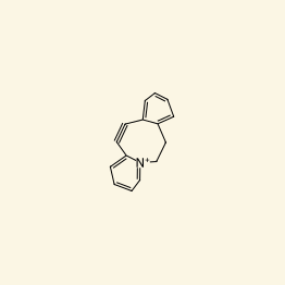 C1#Cc2cccc[n+]2CCc2ccccc21